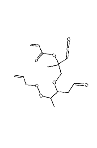 C=CCOOC(C)C(CC=O)OCC(C)(C=C=O)OC(=O)C=C